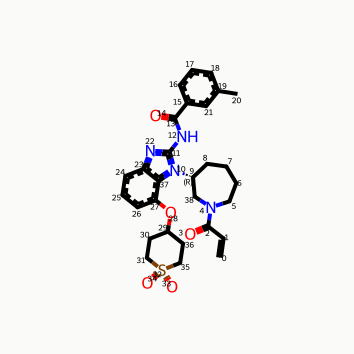 C=CC(=O)N1CCCC[C@@H](n2c(NC(=O)c3cccc(C)c3)nc3cccc(OC4CCS(=O)(=O)CC4)c32)C1